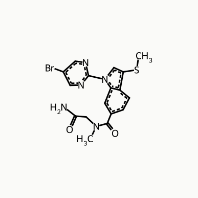 CSc1cn(-c2ncc(Br)cn2)c2cc(C(=O)N(C)CC(N)=O)ccc12